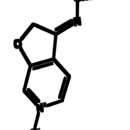 CON=C1COc2c[n+]([O-])ccc21